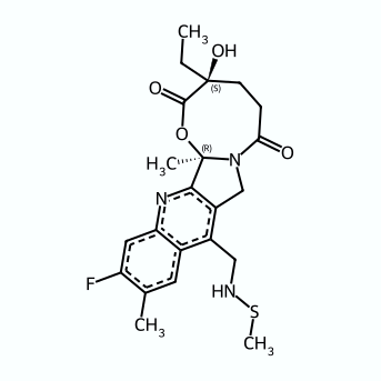 CC[C@]1(O)CCC(=O)N2Cc3c(nc4cc(F)c(C)cc4c3CNSC)[C@@]2(C)OC1=O